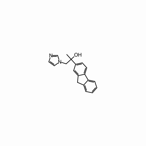 CC(O)(Cn1ccnc1)c1ccc2c(c1)Cc1ccccc1-2